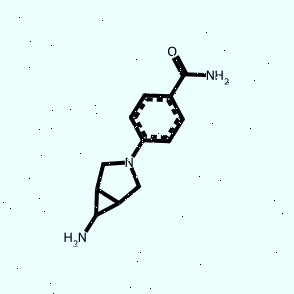 NC(=O)c1ccc(N2CC3C(N)C3C2)cc1